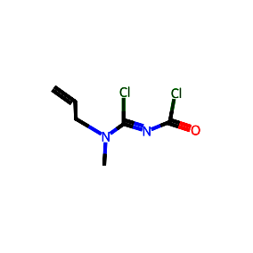 C=CCN(C)C(Cl)=NC(=O)Cl